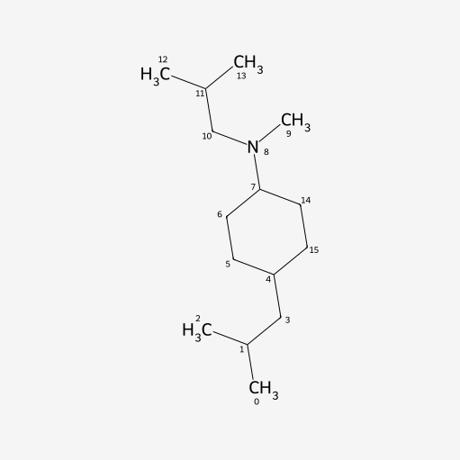 CC(C)CC1CCC(N(C)CC(C)C)CC1